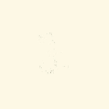 C[C@@H]1CN2c3c(cc4c(-c5scnc5C#N)noc4c3F)CC3(C(=O)NC(=O)NC3=O)[C@H]2[C@H](C)O1